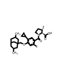 CC1CC2CC(C)CC(COc3cc(F)c(C(=O)N4CC[C@H](F)[C@H]4C(=O)O)cc3C3CC3)(C1)C2